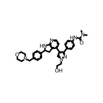 CN(C)C(=O)Nc1ccc(-c2nn(CCO)cc2-c2ccnc3c2CC(c2ccc(CN4CCOCC4)cc2)N3)cc1